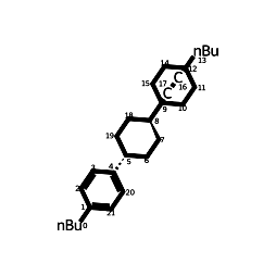 CCCCc1ccc([C@H]2CC[C@H](C34CCC(CCCC)(CC3)CC4)CC2)cc1